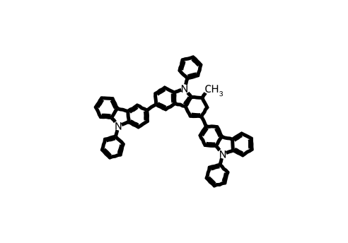 CC1CC(c2ccc3c(c2)c2ccccc2n3-c2ccccc2)=Cc2c1n(-c1ccccc1)c1ccc(-c3ccc4c(c3)c3ccccc3n4-c3ccccc3)cc21